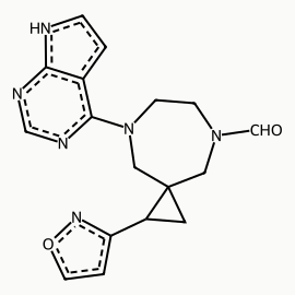 O=CN1CCN(c2ncnc3[nH]ccc23)CC2(CC2c2ccon2)C1